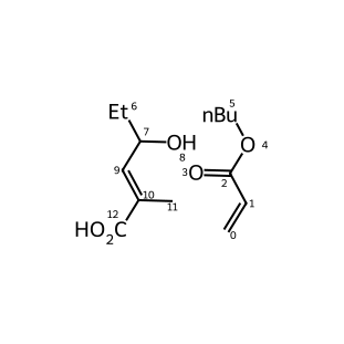 C=CC(=O)OCCCC.CCC(O)C=C(C)C(=O)O